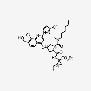 C=CCCCCN(C)C(=O)[C@@H]1C[C@H](Oc2cc(-n3ccc(C(F)(F)F)n3)nc3c(Cl)c(CO)ccc23)CC1C(=O)N[C@]1(C(=O)OCC)C[C@H]1C=C